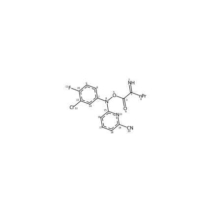 CCCC(=N)C(=O)ON(c1ccc(F)c(Cl)c1)c1cccc(C#N)n1